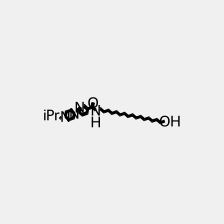 CC(C)CN1CCN(c2ccc(C(=O)NCCCCCCCCCCCCCCCCO)cn2)CC1